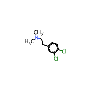 [CH2]N(C)CCc1ccc(Cl)c(Cl)c1